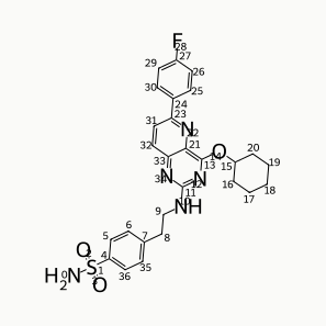 NS(=O)(=O)c1ccc(CCNc2nc(OC3CCCCC3)c3nc(-c4ccc(F)cc4)ccc3n2)cc1